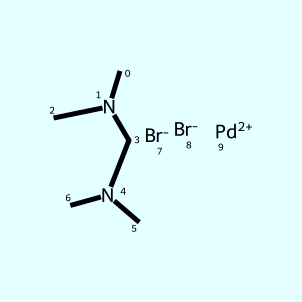 CN(C)CN(C)C.[Br-].[Br-].[Pd+2]